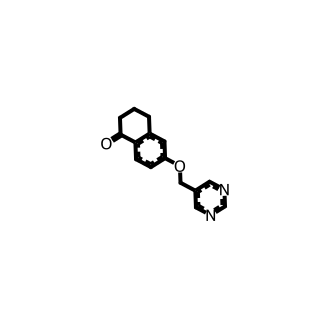 O=C1CCCc2cc(OCc3cncnc3)ccc21